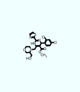 COC(=O)C1=C(CN2CCOCC2CO)NC(c2nccs2)=NC1c1ccc(Cl)cc1Cl